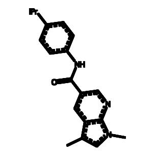 Cc1cn(C)c2ncc(C(=O)Nc3ccc(C(C)C)cc3)cc12